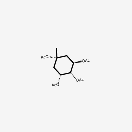 CC(=O)O[C@@H]1C[C@](C)(OC(C)=O)C[C@@H](OC(C)=O)[C@@H]1OC(C)=O